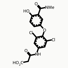 CNC(=O)c1cc(Oc2c(Cl)cc(NC(=O)CC(=O)O)cc2Cl)ccc1O